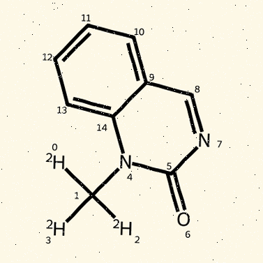 [2H]C([2H])([2H])n1c(=O)ncc2ccccc21